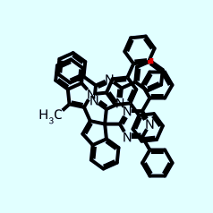 Cc1c(C2=Cc3ccccc3C2(c2nc(-c3ccccc3)nc(-c3ccccc3)n2)c2nc(-c3ccccc3)nc(-c3ccccc3)n2)n(-c2cc(-c3ccccc3)cc(-c3ccccc3)c2)c2ccccc12